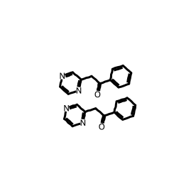 O=C(Cc1cnccn1)c1ccccc1.O=C(Cc1cnccn1)c1ccccc1